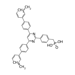 C=C/C=C(\C=C/C)c1ccc(-c2cc(-c3ccc(C(/C=C\C)=C/C=C)cc3)nc(-c3ccc(CP(=O)(O)O)cc3)n2)cc1